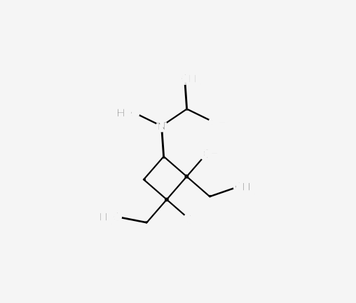 CCC1(C)CC(N(C)C(C)C)C1(C)CC